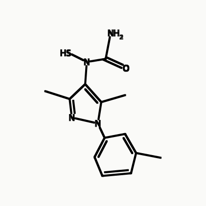 Cc1cccc(-n2nc(C)c(N(S)C(N)=O)c2C)c1